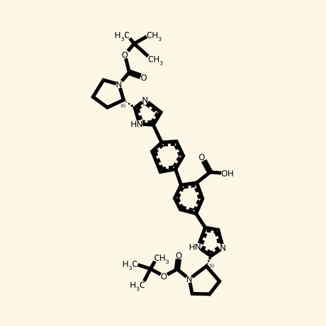 CC(C)(C)OC(=O)N1CCC[C@H]1c1ncc(-c2ccc(-c3ccc(-c4cnc([C@@H]5CCCN5C(=O)OC(C)(C)C)[nH]4)cc3C(=O)O)cc2)[nH]1